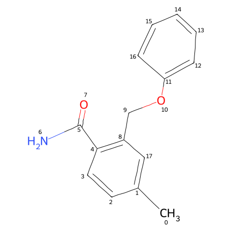 Cc1ccc(C(N)=O)c(COc2ccccc2)c1